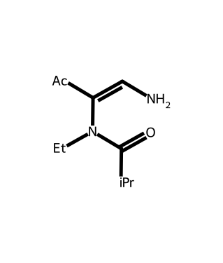 CCN(C(=O)C(C)C)/C(=C\N)C(C)=O